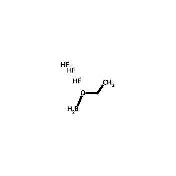 BOCC.F.F.F